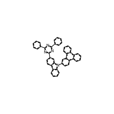 c1ccc(-c2nc(-c3ccccc3)nc(-c3ccc4c5ccccc5n(-c5ccc6c7ccccc7c7ccccc7c6c5)c4c3)n2)cc1